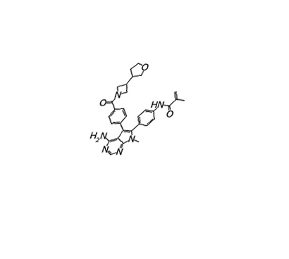 C=C(C)C(=O)Nc1ccc(-c2c(-c3ccc(C(=O)N4CC(C5CCOC5)C4)cc3)c3c(N)ncnc3n2C)cc1